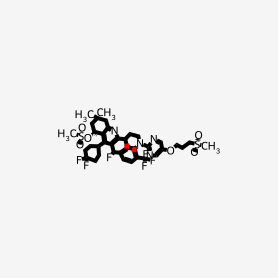 CC1(C)Cc2nc(C3CCN(c4ncc(OCCCS(C)(=O)=O)cn4)CC3)c(C(F)c3ccc(C(F)(F)F)cc3)c(C3CCC(F)(F)CC3)c2[C@@H](OS(C)(=O)=O)C1